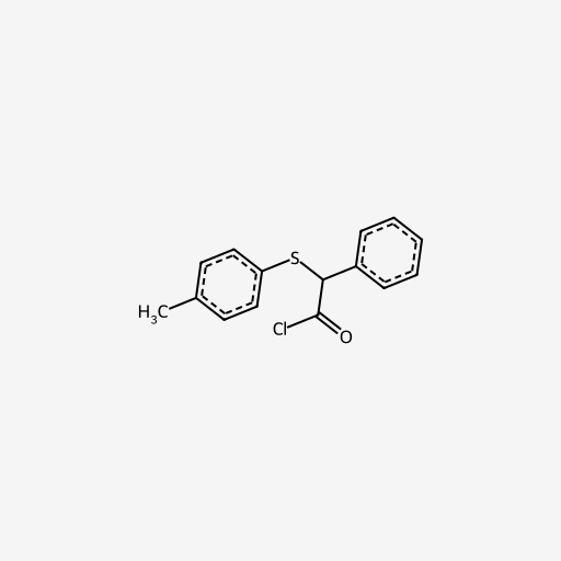 Cc1ccc(SC(C(=O)Cl)c2ccccc2)cc1